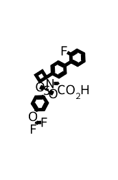 O=C(O)CN(C1(c2ccc(-c3ccccc3F)cc2)CCC1)S(=O)(=O)c1ccc(OC(F)F)cc1